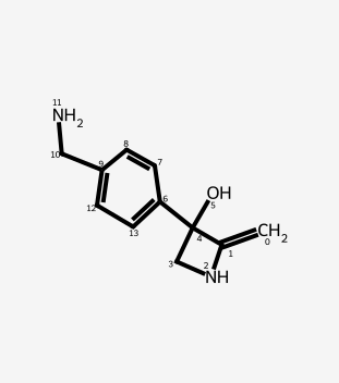 C=C1NCC1(O)c1ccc(CN)cc1